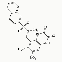 Cc1c([N+](=O)[O-])cc2[nH]c(=O)c(=O)[nH]c2c1CN(C)S(=O)(=O)c1ccc2ccccc2c1